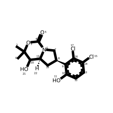 CC1(C)OC(=O)N2C[C@@H](c3c(O)ccc(Cl)c3Cl)C[C@H]2C1O